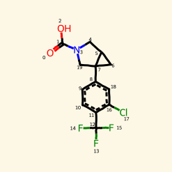 O=C(O)N1CC2CC2(c2ccc(C(F)(F)F)c(Cl)c2)C1